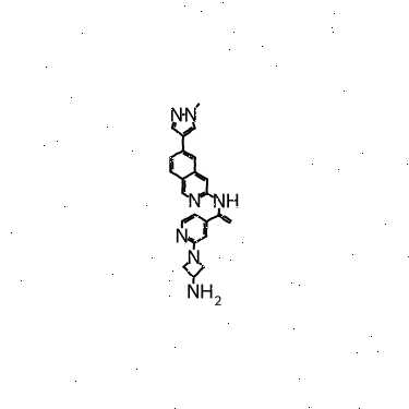 C=C(Nc1cc2cc(-c3cnn(C)c3)ccc2cn1)c1ccnc(N2CC(N)C2)c1